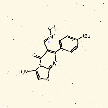 C/N=C/c1c(-c2ccc(C(C)(C)C)cc2)nc2scc(N)n2c1=O